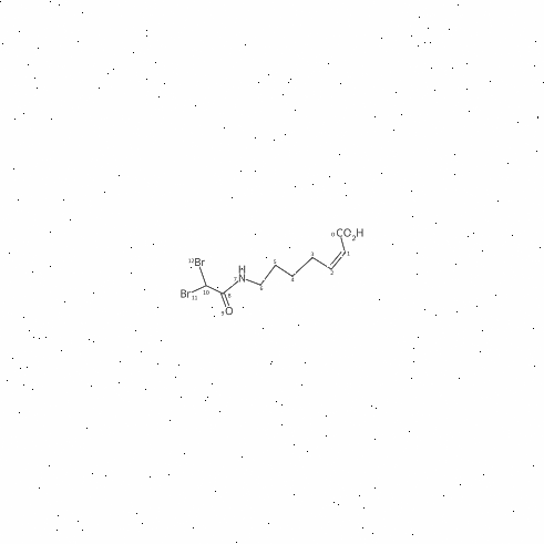 O=C(O)/C=C\CCCCNC(=O)C(Br)Br